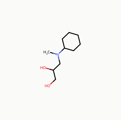 CN(CC(O)CO)C1CCCCC1